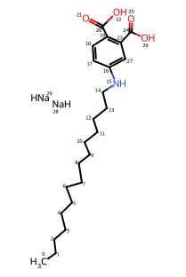 CCCCCCCCCCCCCCCNc1ccc(C(=O)O)c(C(=O)O)c1.[NaH].[NaH]